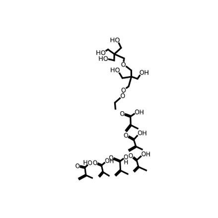 C=C(C)C(=O)O.C=C(C)C(=O)O.C=C(C)C(=O)O.C=C(C)C(=O)O.C=C(C)C(=O)O.C=C(C)C(=O)O.CCOOCC(CO)(CO)COCC(CO)(CO)CO